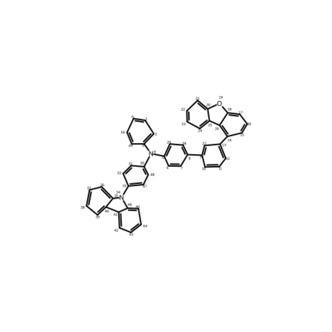 c1ccc(N(c2ccc(-c3cccc(-c4cccc5oc6ccccc6c45)c3)cc2)c2ccc(-n3c4ccccc4c4ccccc43)cc2)cc1